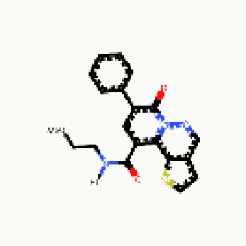 CCN(CCOC)C(=O)c1cc(-c2ccccc2)c(=O)n2ncc3ccsc3c12